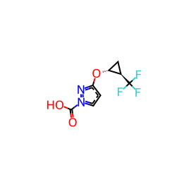 O=C(O)n1ccc(O[C@@H]2C[C@H]2C(F)(F)F)n1